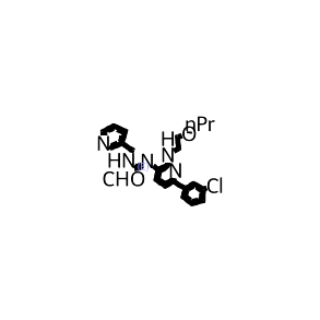 CCCOCCNc1nc(-c2cccc(Cl)c2)ccc1/N=C(\C=O)NCc1cccnc1